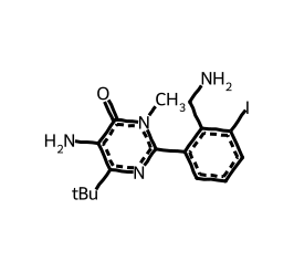 Cn1c(-c2cccc(I)c2CN)nc(C(C)(C)C)c(N)c1=O